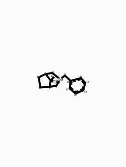 CC1(O)[C]2CCC1CN(Cc1ccccc1)C2